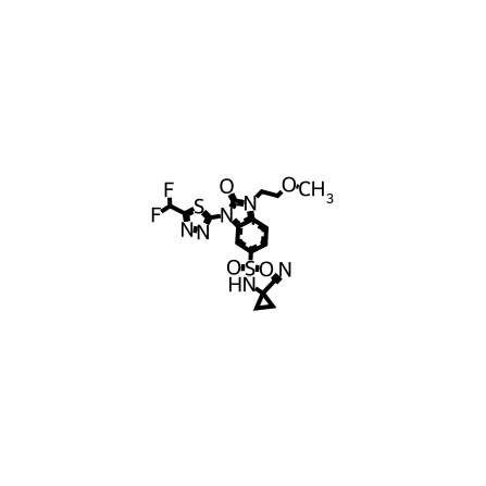 COCCn1c(=O)n(-c2nnc(C(F)F)s2)c2cc(S(=O)(=O)NC3(C#N)CC3)ccc21